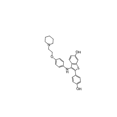 Oc1ccc(-c2sc3cc(O)ccc3c2Nc2ccc(OCCN3CCCCC3)cc2)cc1